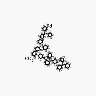 CC(C)(C)c1ccc(-c2ccccc2C(=O)O)cc1.[Pd].c1ccc(P(c2ccccc2)c2ccccc2)cc1.c1ccc(P(c2ccccc2)c2ccccc2)cc1.c1ccc(P(c2ccccc2)c2ccccc2)cc1.c1ccc(P(c2ccccc2)c2ccccc2)cc1